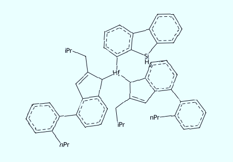 CCCc1ccccc1-c1cccc2c1C=C(CC(C)C)[CH]2[Hf]([c]1cccc2c1[SiH2]c1ccccc1-2)[CH]1C(CC(C)C)=Cc2c(-c3ccccc3CCC)cccc21